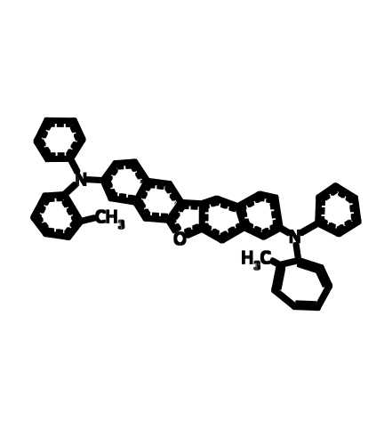 CC1=CC=CC=C=C1N(c1ccccc1)c1ccc2cc3c(cc2c1)oc1cc2cc(N(c4ccccc4)c4ccccc4C)ccc2cc13